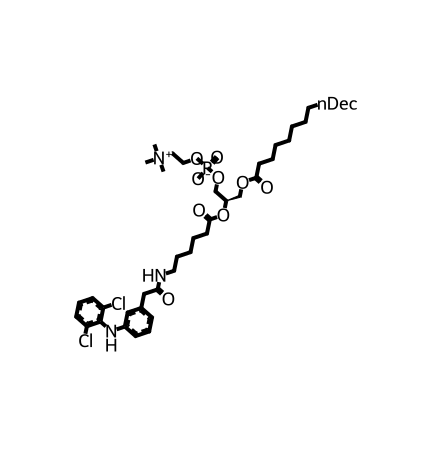 CCCCCCCCCCCCCCCCCC(=O)OC[C@H](COP(=O)([O-])OCC[N+](C)(C)C)OC(=O)CCCCCNC(=O)Cc1cccc(Nc2c(Cl)cccc2Cl)c1